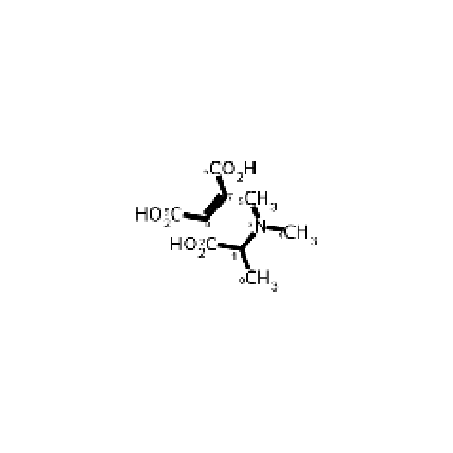 CC(C(=O)O)N(C)C.O=C(O)/C=C\C(=O)O